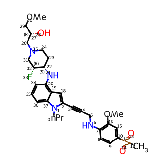 CCCn1c(C#CCNc2ccc(S(C)(=O)=O)cc2OC)cc2c(N[C@H]3CCN(C[C@@H](O)COC)C[C@H]3F)cccc21